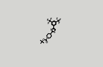 CC(C)(C)OC(=O)N1CCC(c2nc(-c3cc(C(F)(F)F)cc(C(F)(F)F)c3)cs2)CC1